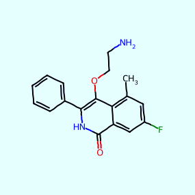 Cc1cc(F)cc2c(=O)[nH]c(-c3ccccc3)c(OCCN)c12